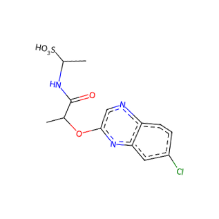 CC(Oc1cnc2ccc(Cl)cc2n1)C(=O)NC(C)S(=O)(=O)O